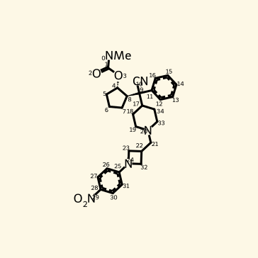 CNC(=O)O[C@H]1CCC[C@@H]1C(C#N)(c1ccccc1)C1CCN(CC2CN(c3ccc([N+](=O)[O-])cc3)C2)CC1